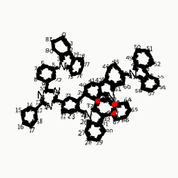 C1=Cc2c(n(-c3cccc(-c4nc(-c5ccccc5)nc(-c5ccc(-n6c7ccccc7c7ccccc76)c(-c6ccc7c8ccc(-n9c%10ccccc%10c%10ccccc%109)cc8n(-c8ccccc8)c7c6)c5)n4)c3)c3ccccc23)CC1